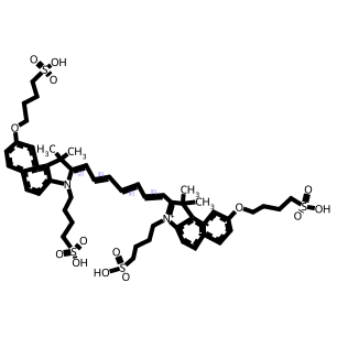 CC1(C)C(/C=C/C=C/C=C/C=C2\N(CCCCS(=O)(=O)O)c3ccc4ccc(OCCCCS(=O)(=O)O)cc4c3C2(C)C)=[N+](CCCCS(=O)(=O)O)c2ccc3ccc(OCCCCS(=O)(=O)O)cc3c21